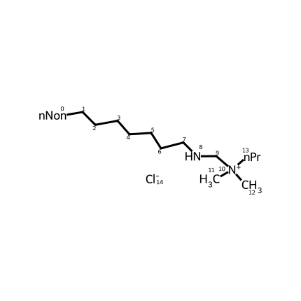 CCCCCCCCCCCCCCCCNC[N+](C)(C)CCC.[Cl-]